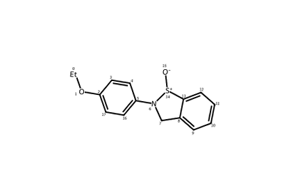 CCOc1ccc(N2Cc3ccccc3[S+]2[O-])cc1